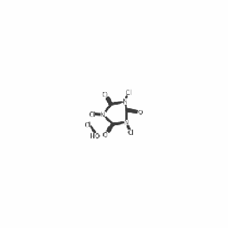 O=c1n(Cl)c(=O)n(Cl)c(=O)n1Cl.OCl